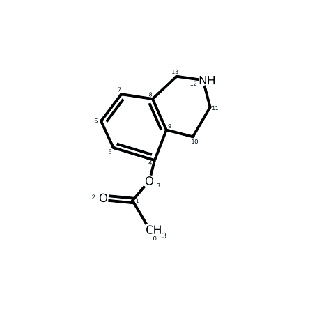 CC(=O)Oc1cccc2c1CCNC2